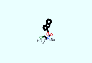 CC(C)(C)N(C(=O)OCc1cccc2c1Cc1ccccc1-2)C(CCl)C(=O)O